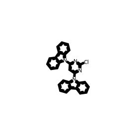 Clc1nc(-n2c3ccccc3c3ccccc32)cc(-n2c3ccccc3c3ccccc32)n1